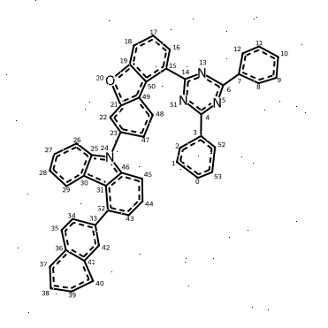 c1ccc(-c2nc(-c3ccccc3)nc(-c3cccc4oc5cc(-n6c7ccccc7c7c(-c8ccc9ccccc9c8)cccc76)ccc5c34)n2)cc1